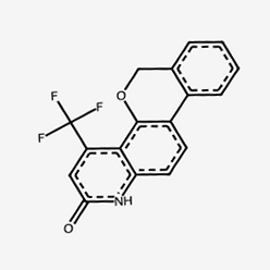 O=c1cc(C(F)(F)F)c2c3c(ccc2[nH]1)-c1ccccc1CO3